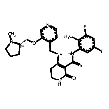 Cc1c(F)cc(F)cc1NC(=S)C1=C(NCc2ccncc2OC[C@@H]2CCCN2C)CCNC1=O